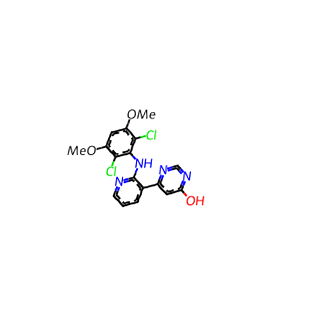 COc1cc(OC)c(Cl)c(Nc2ncccc2-c2cc(O)ncn2)c1Cl